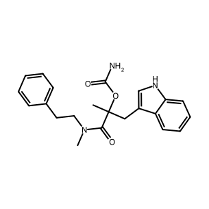 CN(CCc1ccccc1)C(=O)C(C)(Cc1c[nH]c2ccccc12)OC(N)=O